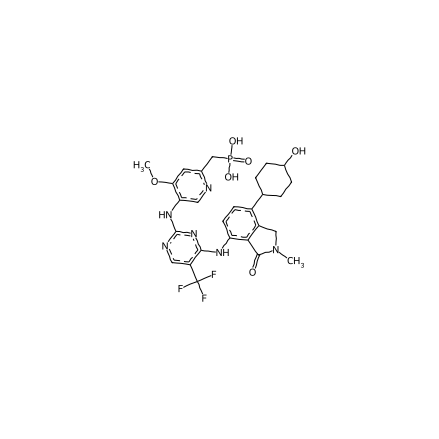 COc1cc(CP(=O)(O)O)ncc1Nc1ncc(C(F)(F)F)c(Nc2ccc(C3CCC(O)CC3)c3c2C(=O)N(C)C3)n1